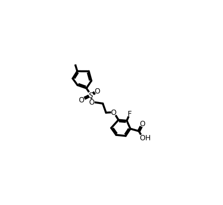 Cc1ccc(S(=O)(=O)OCCOc2cccc(C(=O)O)c2F)cc1